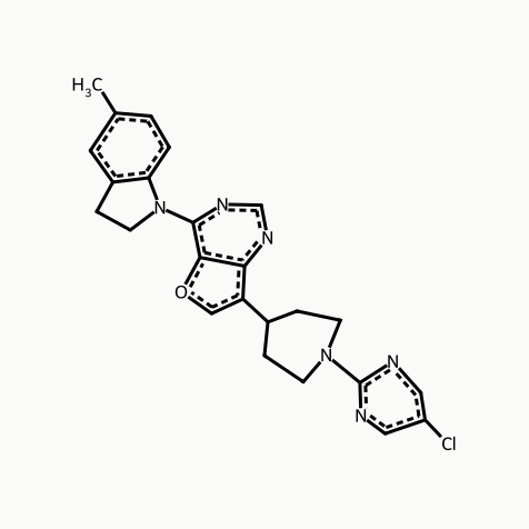 Cc1ccc2c(c1)CCN2c1ncnc2c(C3CCN(c4ncc(Cl)cn4)CC3)coc12